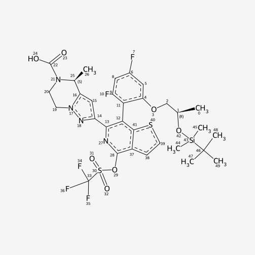 C[C@H](COc1cc(F)cc(F)c1-c1c(-c2cc3n(n2)CCN(C(=O)O)[C@H]3C)nc(OS(=O)(=O)C(F)(F)F)c2ccsc12)O[Si](C)(C)C(C)(C)C